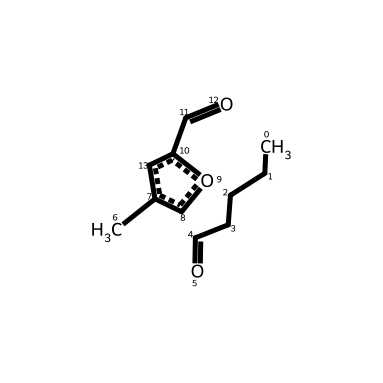 CCCCC=O.Cc1coc(C=O)c1